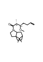 C=CCC[C@@H](OC)[C@@H](C)C(=O)N1CCC23CCC(CC12)C3(C)C